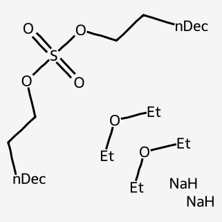 CCCCCCCCCCCCOS(=O)(=O)OCCCCCCCCCCCC.CCOCC.CCOCC.[NaH].[NaH]